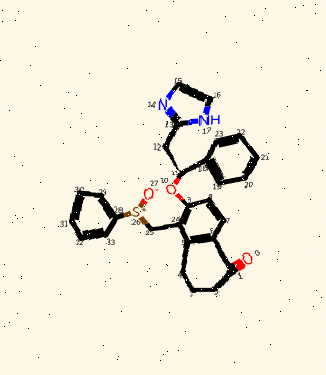 O=C1CCCc2c1ccc(O[C@@H](Cc1ncc[nH]1)c1ccccc1)c2C[S+]([O-])c1ccccc1